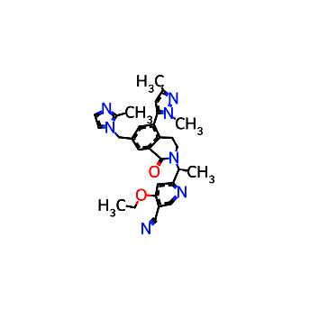 CCOc1cc([C@H](C)N2CCc3c(cc(Cn4ccnc4C)cc3-c3cc(C)nn3C)C2=O)ncc1C#N